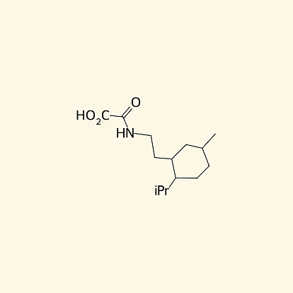 CC1CCC(C(C)C)C(CCNC(=O)C(=O)O)C1